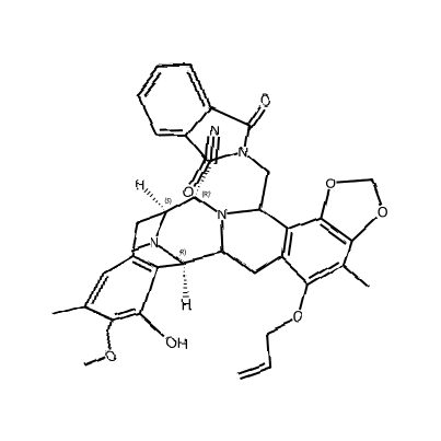 C=CCOc1c(C)c2c(c3c1CC1[C@H]4c5c(cc(C)c(OC)c5O)C[C@@H]([C@H](C#N)N1C3CN1C(=O)c3ccccc3C1=O)N4C)OCO2